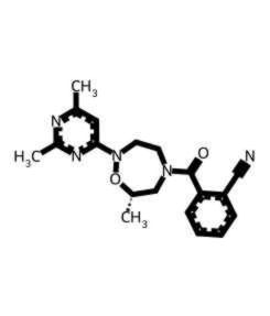 Cc1cc(N2CCN(C(=O)c3ccccc3C#N)C[C@H](C)O2)nc(C)n1